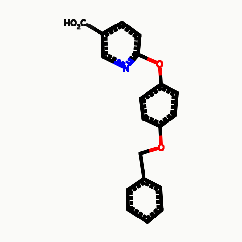 O=C(O)c1ccc(Oc2ccc(OCc3ccccc3)cc2)nc1